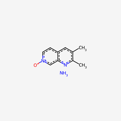 Cc1cc2cc[n+]([O-])cc2nc1C.N